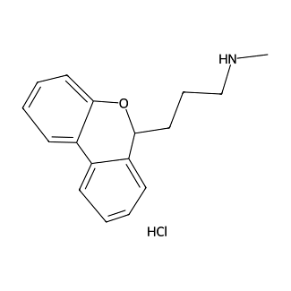 CNCCCC1Oc2ccccc2-c2ccccc21.Cl